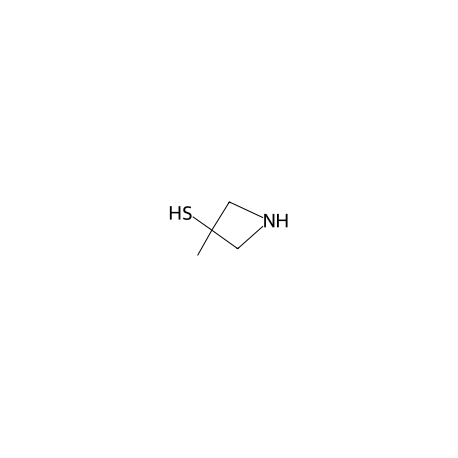 CC1(S)CNC1